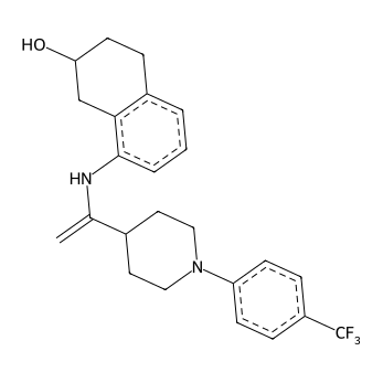 C=C(Nc1cccc2c1CC(O)CC2)C1CCN(c2ccc(C(F)(F)F)cc2)CC1